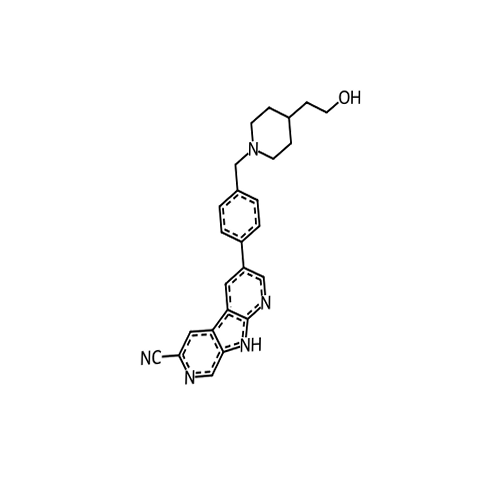 N#Cc1cc2c(cn1)[nH]c1ncc(-c3ccc(CN4CCC(CCO)CC4)cc3)cc12